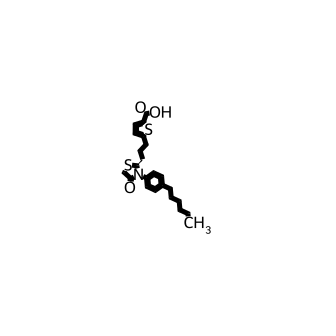 CCCCCCc1ccc(N2C(=O)CS[C@@H]2CCCc2ccc(C(=O)O)s2)cc1